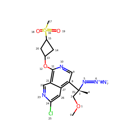 COC[C@@](C)(N=[N+]=[N-])c1cnc(OC2CC(S(C)(=O)=O)C2)c2cnc(Cl)cc12